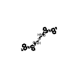 CN(C)c1ccc(/N=N/c2cc[n+](CC(=O)NCCSSCCNC(=O)C[n+]3ccc(/N=N/c4ccc(N(C)C)c5ccccc45)c4ccccc43)c3ccccc23)c2ccccc12